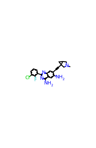 CN1CC2CC2(C#Cc2cc3nc(-c4cccc(Cl)c4F)nc(N)c3cc2N)C1